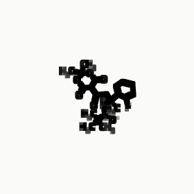 CC1(C)OC(=O)C(C(=O)C[C@](C)(N[S@+]([O-])C(C)(C)C)c2ccccc2F)C(=O)O1